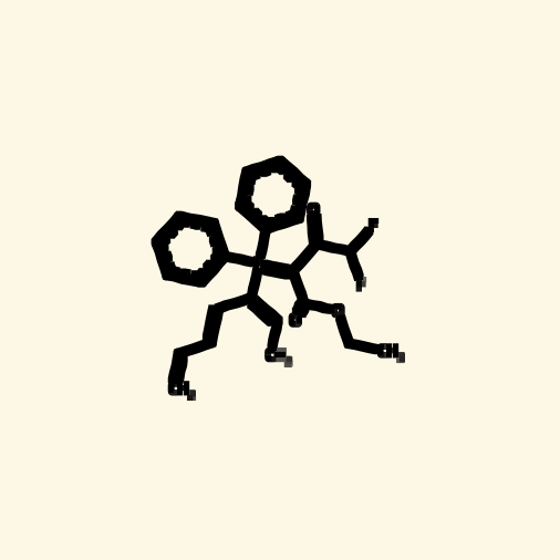 C=CC=CC(=CC)P(=C(C(=O)OCC)C(=O)C(F)F)(c1ccccc1)c1ccccc1